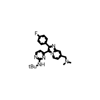 CN(C)Cc1ccn2c(-c3ccnc(NC(C)(C)C)n3)c(-c3ccc(F)cc3)nc2c1